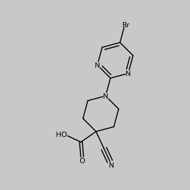 N#CC1(C(=O)O)CCN(c2ncc(Br)cn2)CC1